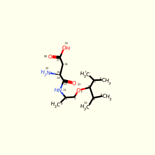 CC(COC(C(C)C)C(C)C)NC(=O)[C@@H](N)CC(=O)O